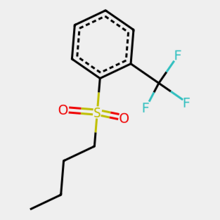 CCCCS(=O)(=O)c1ccccc1C(F)(F)F